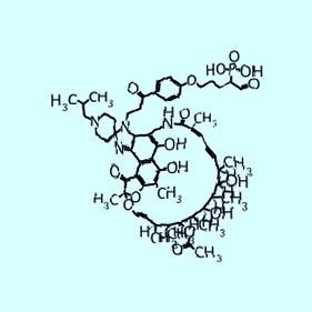 CC(=O)O[C@H]1[C@H](C)[C@H](O)[C@H](C)[C@@H](O)[C@@H](C)/C=C/C=C(/C)C(=O)NC2=C(O)c3c(O)c(C)c4c(c3C3=NC5(CCN(CC(C)C)CC5)N(CCC(=O)c5ccc(OCCCC(C=O)P(=O)(O)O)cc5)C32)C(=O)[C@@](C)(O/C=C/[C@H](C)[C@H]1C)O4